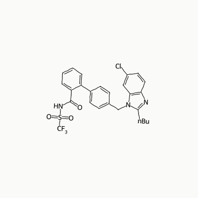 CCCCc1nc2ccc(Cl)cc2n1Cc1ccc(-c2ccccc2C(=O)NS(=O)(=O)C(F)(F)F)cc1